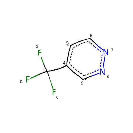 FC(F)(F)c1[c]cnn[c]1